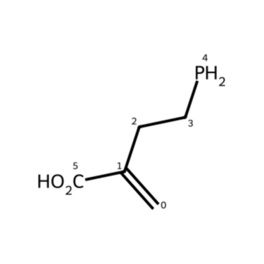 C=C(CCP)C(=O)O